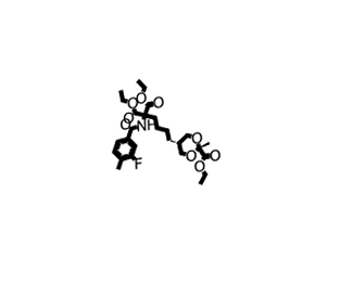 CCOC(=O)C(CCCC[C@H]1CO[C@@](C)(C(=O)OCC)OC1)(NC(=O)c1ccc(C)c(F)c1)C(=O)OCC